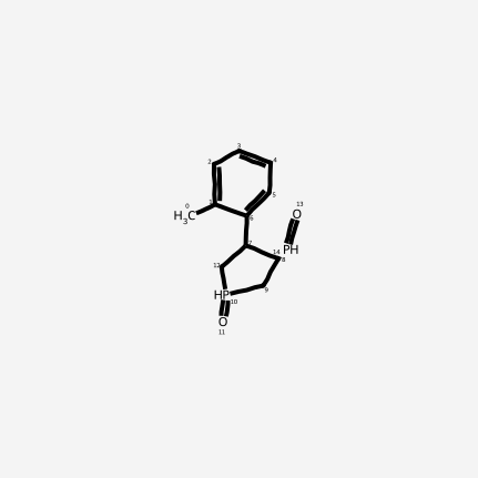 Cc1ccccc1C1CC[PH](=O)C1.O=P